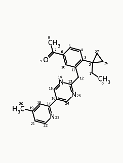 CCC1(c2ccc(C(C)=O)cc2Cc2ncc(-c3cc(C)ccn3)cn2)CC1